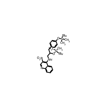 CC(C)(C)[Si](C)(C)Oc1ccc(CC(CNc2c([N+](=O)[O-])cnc3ccccc23)O[Si](C)(C)C(C)(C)C)cc1